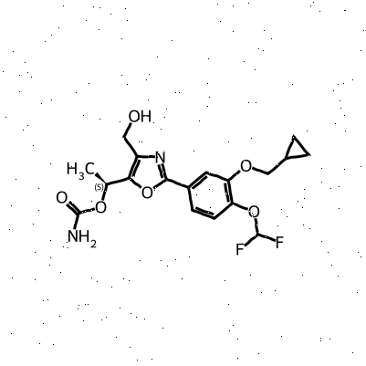 C[C@H](OC(N)=O)c1oc(-c2ccc(OC(F)F)c(OCC3CC3)c2)nc1CO